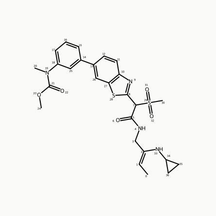 CC=C(CNC(=O)C(c1nc2ccc(-c3cccc(N(C)C(=O)OC)c3)cc2s1)S(C)(=O)=O)NC1CC1